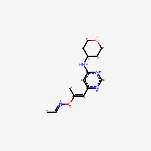 C/C=N/O/C(C)=C/c1cc(NC2CCOCC2)ncn1